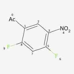 CC(=O)c1cc([N+](=O)[O-])c(F)cc1F